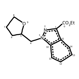 CCOC(=O)c1nn(CC2CCCO2)c2ccccc12